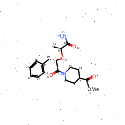 COC(=O)C1CCN(C(=O)[C@H](Cc2ccccc2)O[C@@H](C)C(N)=O)CC1